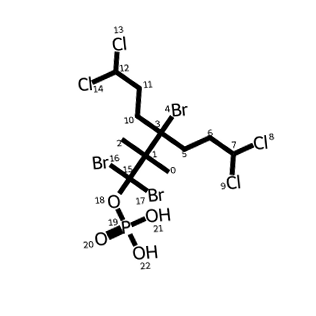 CC(C)(C(Br)(CCC(Cl)Cl)CCC(Cl)Cl)C(Br)(Br)OP(=O)(O)O